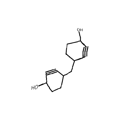 OC1C#CC(CC2C#CC(O)CC2)CC1